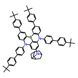 CC(C)(C)c1ccc(-c2ccc(N3c4ccc(-c5ccc(C(C)(C)C)cc5)cc4B4c5cc(-c6ccc(C(C)(C)C)cc6)ccc5N(c5ccc(-c6ccc(C(C)(C)C)cc6)cc5)c5cc(N6C7CC8CC(C7)C6C8)cc3c54)cc2)cc1